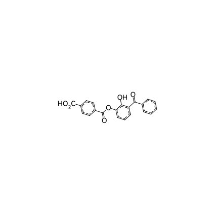 O=C(O)c1ccc(C(=O)Oc2cccc(C(=O)c3ccccc3)c2O)cc1